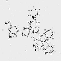 COc1cc(OC)nc(-c2ccc(C3(c4ccc(N5CCSCC5)cc4)C=Cc4c5c(c6ccccc6c4O3)-c3ccccc3C5(C)C)cc2)n1